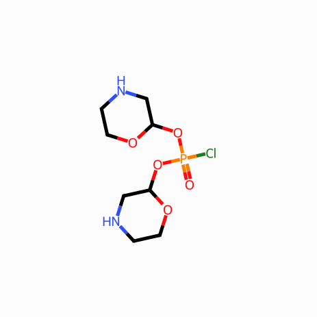 O=P(Cl)(OC1CNCCO1)OC1CNCCO1